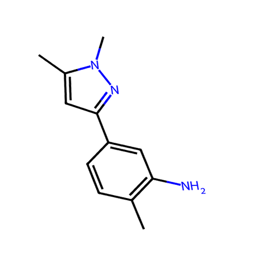 Cc1ccc(-c2cc(C)n(C)n2)cc1N